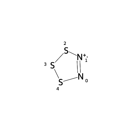 N1=[N+]SSS1